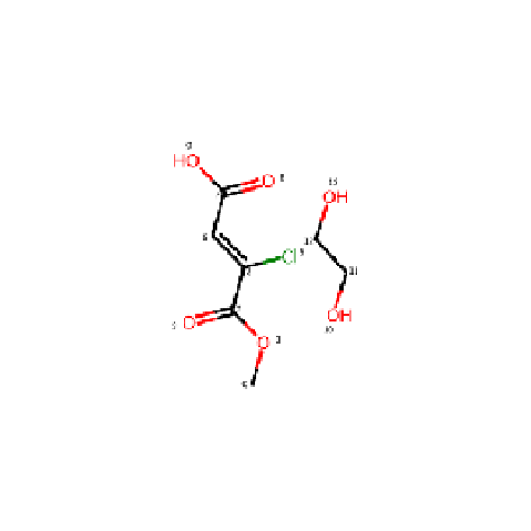 COC(=O)/C(Cl)=C/C(=O)O.OCCO